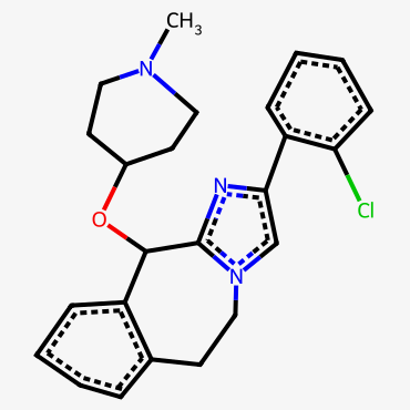 CN1CCC(OC2c3ccccc3CCn3cc(-c4ccccc4Cl)nc32)CC1